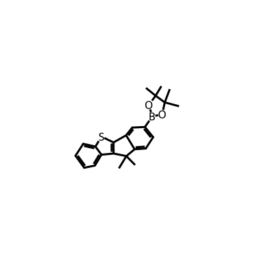 CC1(C)c2ccc(B3OC(C)(C)C(C)(C)O3)cc2-c2sc3ccccc3c21